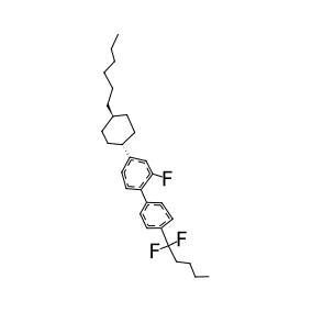 CCCCCC[C@H]1CC[C@H](c2ccc(-c3ccc(C(F)(F)CCCC)cc3)c(F)c2)CC1